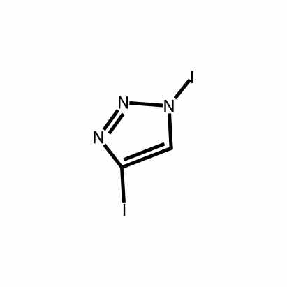 Ic1cn(I)nn1